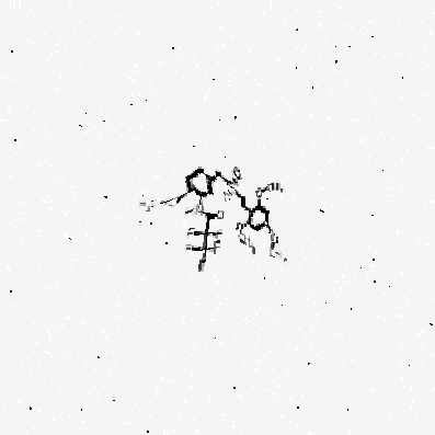 COc1cc(OC)c(C=CS(=O)(=O)Cc2ccc(OC)c(NC(=O)C(F)(F)C(F)(F)F)c2)c(OC)c1